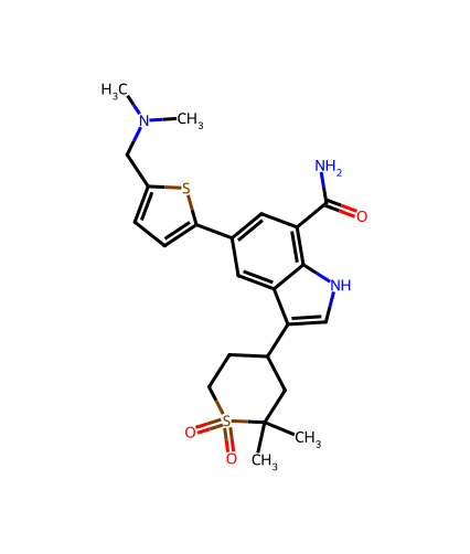 CN(C)Cc1ccc(-c2cc(C(N)=O)c3[nH]cc(C4CCS(=O)(=O)C(C)(C)C4)c3c2)s1